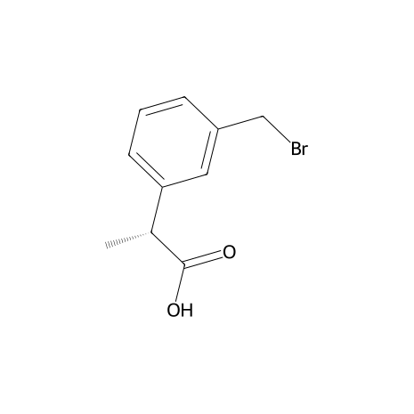 C[C@@H](C(=O)O)c1cccc(CBr)c1